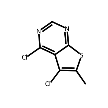 Cc1sc2ncnc(Cl)c2c1Cl